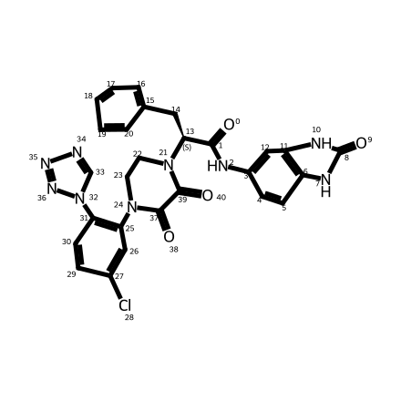 O=C(Nc1ccc2[nH]c(=O)[nH]c2c1)[C@H](Cc1ccccc1)N1CCN(c2cc(Cl)ccc2-n2cnnn2)C(=O)C1=O